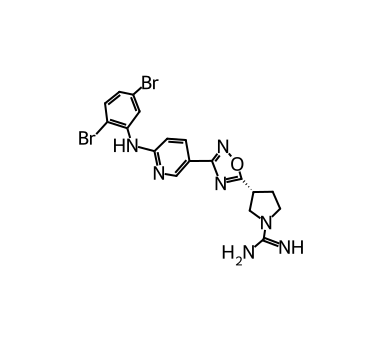 N=C(N)N1CC[C@@H](c2nc(-c3ccc(Nc4cc(Br)ccc4Br)nc3)no2)C1